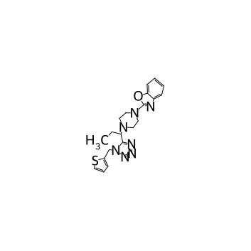 CCC(c1nnnn1Cc1cccs1)N1CCN(c2nc3ccccc3o2)CC1